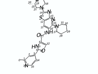 Cc1cc(C2NC(C(=O)Nc3cc4sc(N5CCO[C@@H](C)C5)nc4nc3N3CCCCC3)=CO2)ccn1